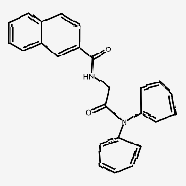 O=C(NCC(=O)N(c1ccccc1)c1ccccc1)c1ccc2ccccc2c1